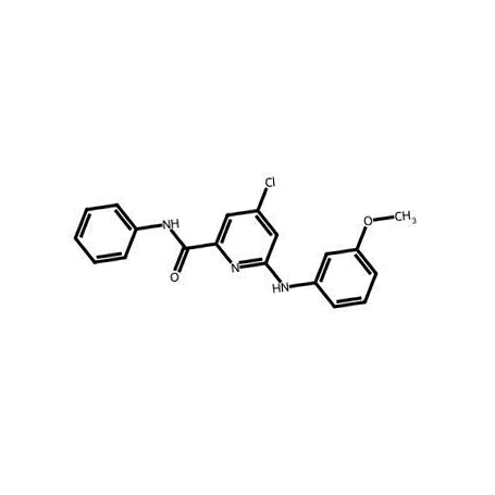 COc1cccc(Nc2cc(Cl)cc(C(=O)Nc3ccccc3)n2)c1